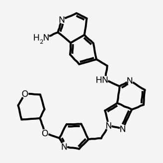 Nc1nccc2cc(CNc3nccc4nn(Cc5ccc(OC6CCOCC6)nc5)cc34)ccc12